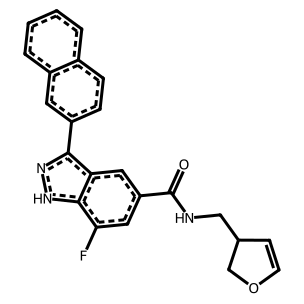 O=C(NCC1C=COC1)c1cc(F)c2[nH]nc(-c3ccc4ccccc4c3)c2c1